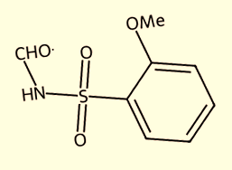 COc1ccccc1S(=O)(=O)N[C]=O